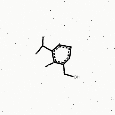 [CH2]C(C)c1cccc(CO)c1C